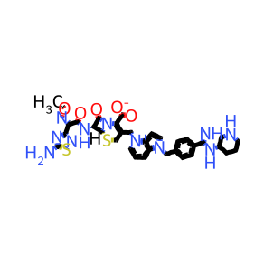 CO/N=C(\C(=O)N[C@@H]1C(=O)N2C(C(=O)[O-])=C(C[n+]3cccc4c3ccn4Cc3ccc(C(=N)NC4CCCNC4)cc3)CS[C@H]12)c1nsc(N)n1